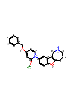 Cl.O=c1cc(OCc2ccccc2)ccn1-c1ccc2oc3c(c2c1)CNCCC3